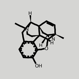 CN1CC[C@]23c4c5ccc(O)c4O[C@H]2[C@@]2(C)C=C[C@@]3(C[C@H]2C#N)[C@H]1C5